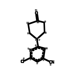 N#Cc1cc(Cl)nc(N2CCC(=O)CC2)c1